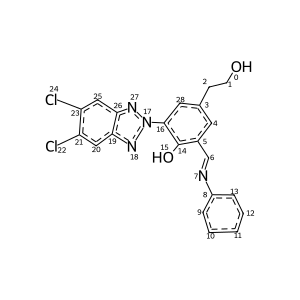 OCCc1cc(C=Nc2ccccc2)c(O)c(-n2nc3cc(Cl)c(Cl)cc3n2)c1